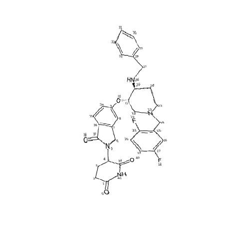 O=C1CCC(N2Cc3cc(O[C@H]4CN(Cc5cc(F)ccc5F)CC[C@@H]4NCc4ccccc4)ccc3C2=O)C(=O)N1